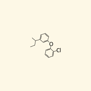 CCC(C)c1cccc(Oc2ccccc2Cl)c1